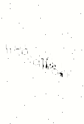 COc1cc(F)c(OCc2ccc(C(C)(C)C(=O)O)cc2)cc1C(=O)NC1C2C=CC(C2)C1C(=O)Nc1cccc(S(=O)(=O)C(F)(F)F)c1